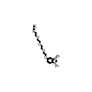 CC(C)n1c[n+](C(C)C)c2cc(OCCOCCOCCOCCN=[N+]=[N-])ccc21